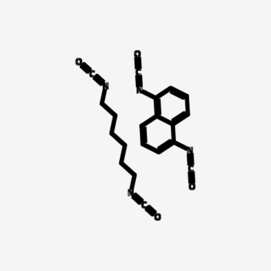 O=C=NCCCCCCN=C=O.O=C=Nc1cccc2c(N=C=O)cccc12